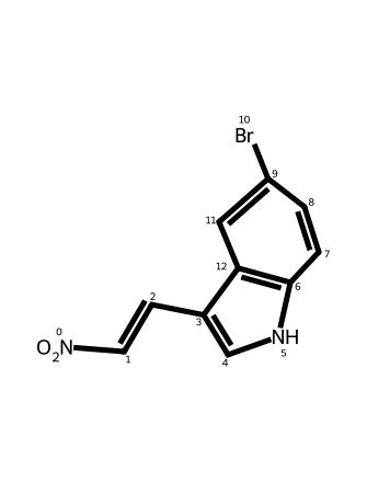 O=[N+]([O-])C=Cc1c[nH]c2ccc(Br)cc12